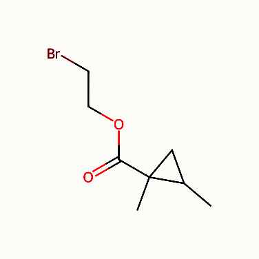 CC1CC1(C)C(=O)OCCBr